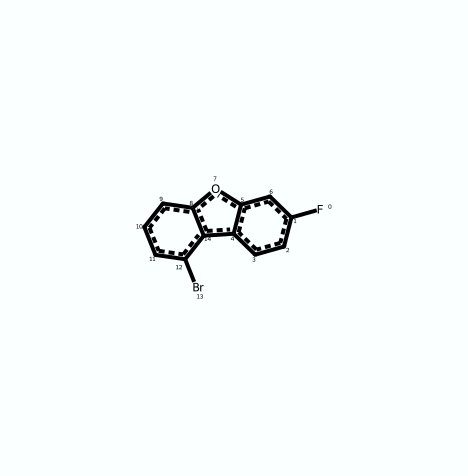 Fc1ccc2c(c1)oc1cccc(Br)c12